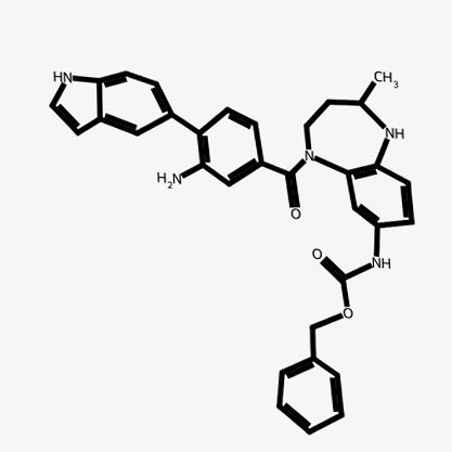 CC1CCN(C(=O)c2ccc(-c3ccc4[nH]ccc4c3)c(N)c2)c2cc(NC(=O)OCc3ccccc3)ccc2N1